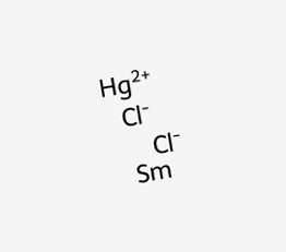 [Cl-].[Cl-].[Hg+2].[Sm]